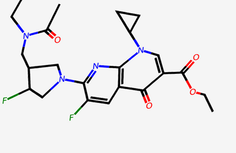 CCOC(=O)c1cn(C2CC2)c2nc(N3CC(F)C(CN(CC)C(C)=O)C3)c(F)cc2c1=O